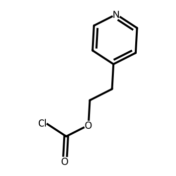 O=C(Cl)OCCc1ccncc1